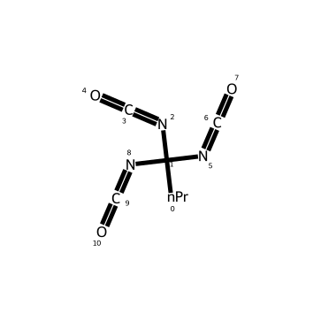 CCCC(N=C=O)(N=C=O)N=C=O